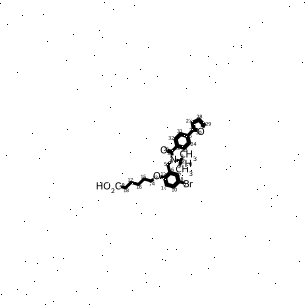 [2H]C(C)(C)N(Cc1cc(Br)ccc1OCCCCCC(=O)O)C(=O)c1ccc(-c2ccco2)cc1